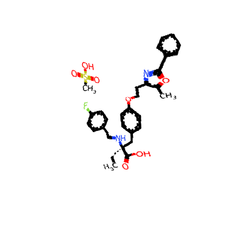 CC[C@@](Cc1ccc(OCCc2nc(-c3ccccc3)oc2C)cc1)(NCc1ccc(F)cc1)C(=O)O.CS(=O)(=O)O